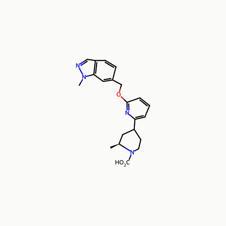 C[C@H]1CC(c2cccc(OCc3ccc4cnn(C)c4c3)n2)CCN1C(=O)O